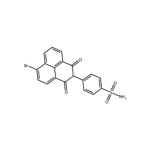 NS(=O)(=O)c1ccc(N2C(=O)c3cccc4c(Br)ccc(c34)C2=O)cc1